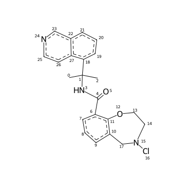 CC(C)(NC(=O)c1cccc2c1OCCN(Cl)C2)c1cccc2cnccc12